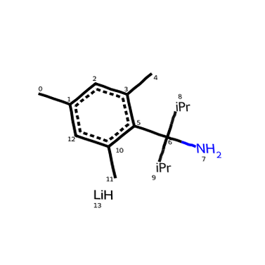 Cc1cc(C)c(C(N)(C(C)C)C(C)C)c(C)c1.[LiH]